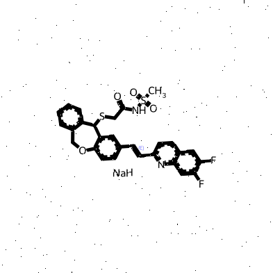 CS(=O)(=O)NC(=O)CSC1c2ccccc2COc2ccc(/C=C/c3ccc4cc(F)c(F)cc4n3)cc21.[NaH]